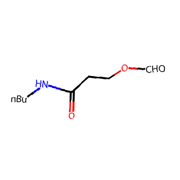 CCCCNC(=O)CCOC=O